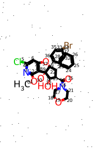 COc1nc(Cl)cc2c1[C@]1(O)[C@H](O)[C@H](C(=O)N3CCOCC3)[C@@H](c3ccccc3)[C@]1(c1ccc(Br)cc1)O2